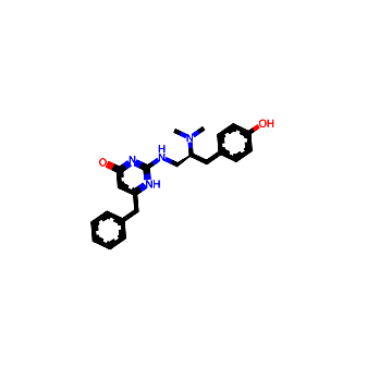 CN(C)[C@H](CNc1nc(=O)cc(Cc2ccccc2)[nH]1)Cc1ccc(O)cc1